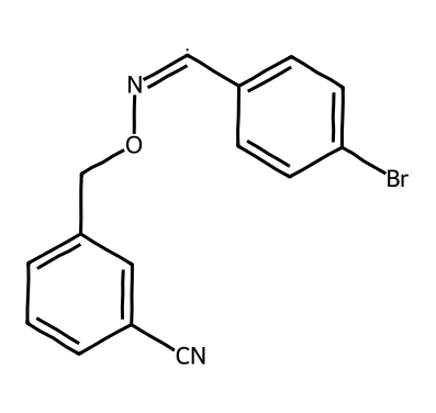 N#Cc1cccc(CO/N=[C]\c2ccc(Br)cc2)c1